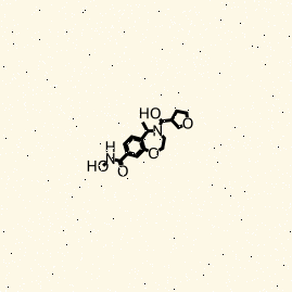 CC1c2ccc(C(=O)NO)cc2OCCN1C(O)C1CCOC1